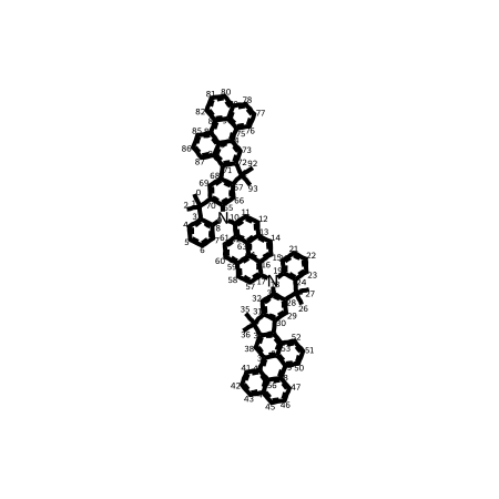 CC1(C)c2ccccc2N(c2ccc3ccc4c(N5c6ccccc6C(C)(C)c6cc7c(cc65)C(C)(C)c5cc6c8cccc9cccc(c%10cccc(c5-7)c%106)c98)ccc5ccc2c3c54)c2cc3c(cc21)-c1c(cc2c4cccc5cccc(c6cccc1c62)c54)C3(C)C